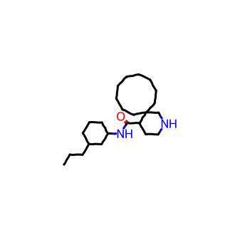 CCCC1CCCC(NC(=O)C2CCNCC23CCCCCCCCC3)C1